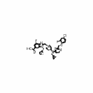 O=C(O)c1cc(F)c2nc(CN3CCC(N(CC4CC4)c4ccnc(COc5ccc(Cl)cc5F)n4)CC3)n(C[C@@H]3CCO3)c2c1